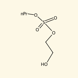 CCCOS(=O)(=O)OCCO